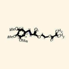 C=C(C)C(=O)OCCOC(=O)/C=C/c1cc(OC)c(OC)c(OC)c1